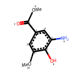 COC(=O)c1cc(N)c(O)c(OC)c1